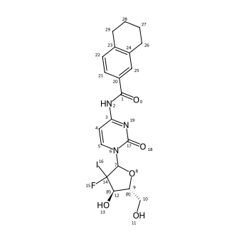 O=C(Nc1ccn(C2O[C@H](CO)[C@@H](O)C2(F)I)c(=O)n1)c1ccc2c(c1)CCCC2